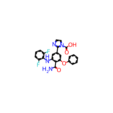 NC(=O)c1c(Nc2c(F)cccc2F)cc(-c2nccn2C(=O)O)cc1Oc1ccccc1